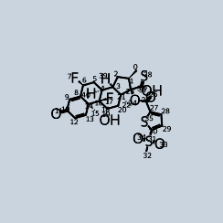 C[C@@H]1C[C@H]2[C@@H]3C[C@H](F)C4=CC(=O)C=C[C@]4(C)[C@@]3(F)[C@@H](O)C[C@]2(C)[C@@]1(OC(=O)c1ccc(S(C)(=O)=O)s1)C(O)=S